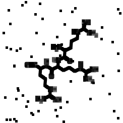 N=C(N)NCCCC(C=O)NC(=O)C(CCCNC(=N)N)NC(=O)C(N)CCCNC(=N)N